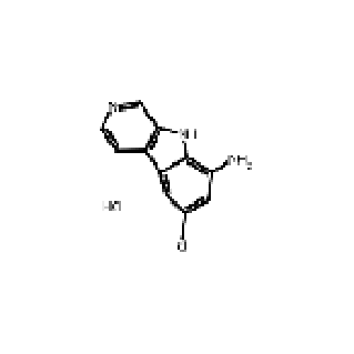 Cl.Nc1cc(Cl)cc2c1[nH]c1cnccc12